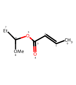 CC=CC(=O)OC(CC)OC